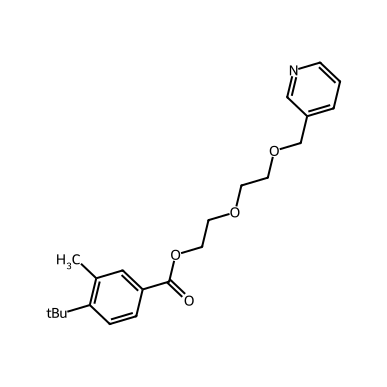 Cc1cc(C(=O)OCCOCCOCc2cccnc2)ccc1C(C)(C)C